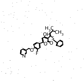 CC(C)CC(SCc1ccccc1)c1c(O)cc(-c2ccc(OCc3cccnc3)c(F)c2)oc1=O